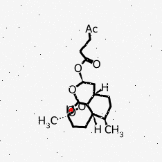 CC(=O)CCC(=O)O[C@H]1C[C@@H]2CC[C@@H](C)[C@@H]3CC[C@]4(C)OO[C@@]23[C@H](O1)O4